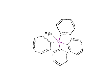 [GaH2][P](c1ccccc1)(c1ccccc1)(c1ccccc1)c1ccccc1